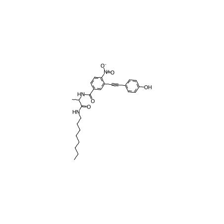 CCCCCCCCNC(=O)C(C)NC(=O)c1ccc([N+](=O)[O-])c(C#Cc2ccc(O)cc2)c1